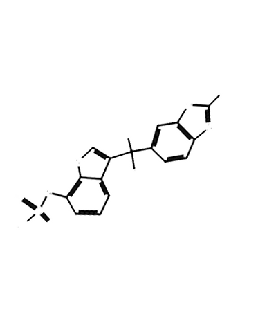 CCC(CC)(c1ccc2nc(C)oc2c1)c1c[nH]c2c(NS(C)(=O)=O)cccc12